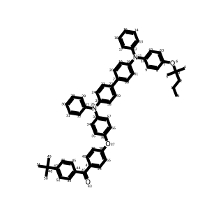 CCCC(C)(C)Oc1ccc(N(c2ccccc2)c2ccc(-c3ccc(N(c4ccccc4)c4ccc(Oc5ccc(C(=O)c6ccc(C(C)(C)C)cc6)cc5)cc4)cc3)cc2)cc1